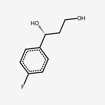 OCC[C@@H](O)c1ccc(F)cc1